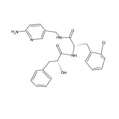 Nc1ccc(CNC(=O)[C@H](Cc2ccccc2Cl)NC(=O)[C@H](O)Cc2ccccc2)cn1